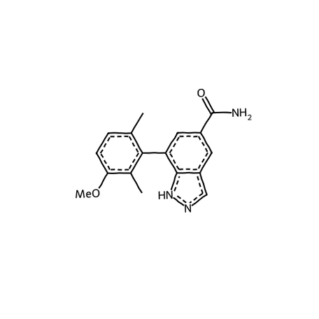 COc1ccc(C)c(-c2cc(C(N)=O)cc3cn[nH]c23)c1C